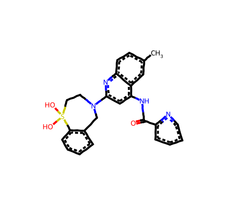 Cc1ccc2nc(N3CCS(O)(O)c4ccccc4C3)cc(NC(=O)c3ccccn3)c2c1